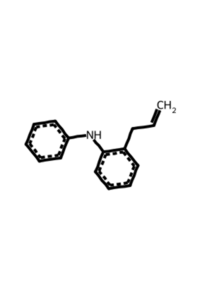 C=CCc1ccccc1Nc1ccccc1